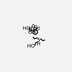 CCC[SH](CCC)CCCO.CO[Si](C)(OC)C1(OB(O)O)CCCCO1